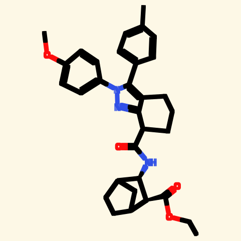 CCOC(=O)[C@H]1C2CCC(C2)[C@H]1NC(=O)C1CCCc2c1nn(-c1ccc(OC)cc1)c2-c1ccc(C)cc1